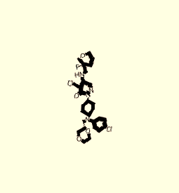 O=c1c(Cl)c(NC[C@]2(F)CCCOC2)cnn1[C@H]1CC[C@@H](N(C[C@H]2COCCO2)c2ccc(Cl)cc2)CC1